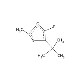 Cc1nc(C(C)(C)C)c(F)o1